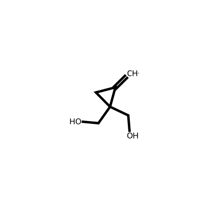 [CH]=C1CC1(CO)CO